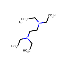 O=C(O)CN(CCN(CC(=O)O)CC(=O)O)CC(=O)O.[Au]